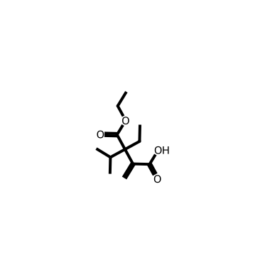 C=C(C(=O)O)C(CC)(C(=O)OCC)C(C)C